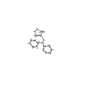 c1ccc(C(CC2=NCCN2)c2ccccc2)cc1